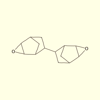 C1C2CC(C1C1CC3CC1C1OC31)C1OC21